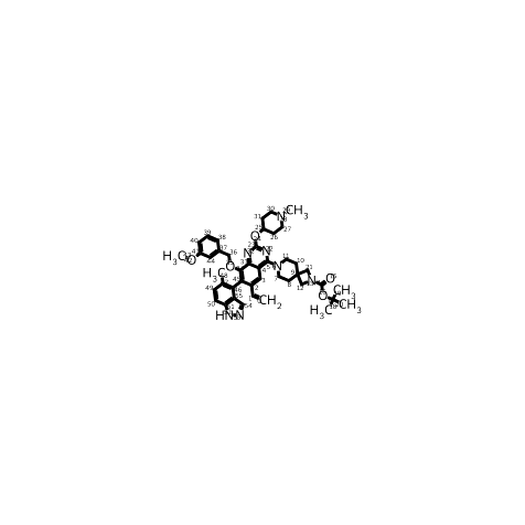 C=Cc1cc2c(N3CCC4(CC3)CN(C(=O)OC(C)(C)C)C4)nc(OC3CCN(C)CC3)nc2c(OCc2cccc(OC)c2)c1-c1c(C)ccc2[nH]ncc12